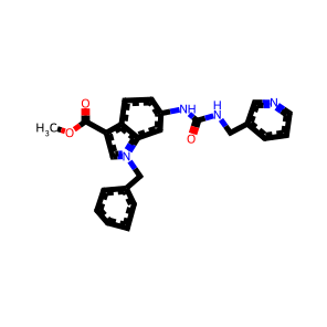 COC(=O)c1cn(Cc2ccccc2)c2cc(NC(=O)NCc3cccnc3)ccc12